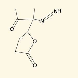 CC(=O)C(C)(N=N)C1CCC(=O)O1